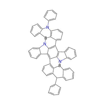 c1ccc(C2c3ccccc3B3c4c(cccc42)-c2c4c5ccccc5n5c4c(c4c6ccccc6n3c24)-c2cccc3c2B5c2ccccc2N3c2ccccc2)cc1